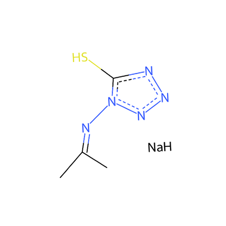 CC(C)=Nn1nnnc1S.[NaH]